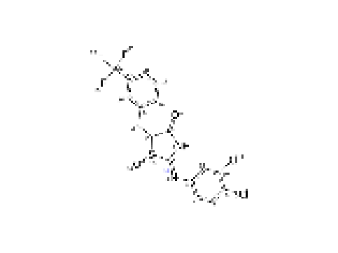 O=C1N/C(=N\c2ccc(Cl)c(Cl)c2)[S+]([O-])C1Cc1cccc(C(F)(F)F)c1